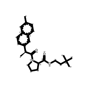 Cc1ccc2cc([C@H](C)C(=O)N3CCCC3C(=O)OCCC(C)(C)C)ccc2c1